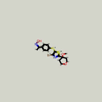 COC1(c2nc(Br)c(Sc3ccc(/C(C)=N\O)cc3)s2)CCOCC1